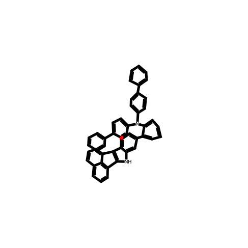 c1ccc(-c2ccc(N(c3ccc(-c4ccccc4)cc3)c3ccccc3-c3ccc4c5c([nH]c4c3)-c3cccc4cccc-5c34)cc2)cc1